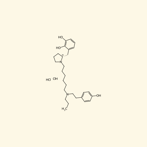 CCCN(CCCCCCN1CCC[C@@H]1Cc1cccc(O)c1O)CCc1ccc(O)cc1.Cl.Cl